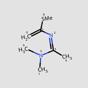 C=C(/N=C(/C)N(C)C)SC